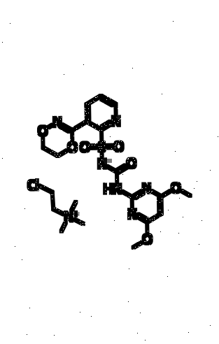 COc1cc(OC)nc(NC(=O)[N-]S(=O)(=O)c2ncccc2C2=NOCCO2)n1.C[N+](C)(C)CCCl